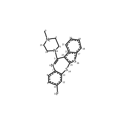 CN1CCN(C2=Nc3ccc(F)cc3Sc3sc4ccccc4c32)CC1